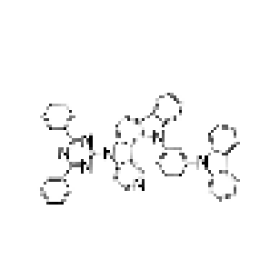 c1ccc(-c2nc(-c3ccccc3)nc(-n3c4ccncc4c4c3ccc3c5ccccc5n(-c5cccc(-n6c7ccccc7c7ccccc76)c5)c34)n2)cc1